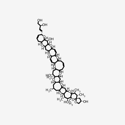 C[C@@H]1C[C@@H]2O[C@@H]3[C@@H](C)[C@H](O)[C@]4(C)O[C@]5(C[C@H](O)CO5)[C@@H](C)[C@H](C)[C@H]4O[C@H]3C[C@H]2O[C@H]2C[C@H]3O[C@H]4C/C=C\C[C@H]5O[C@H]6C=C[C@H]7O[C@H]8[C@H](O)[C@H]9O[C@@H](/C=C/[C@H](O)CO)C=CC[C@@H]9O[C@@H]8C[C@@H]7O[C@@H]6C=C[C@@H]5O[C@@H]4C[C@@H](O)[C@]3(C)O[C@@H]2C1